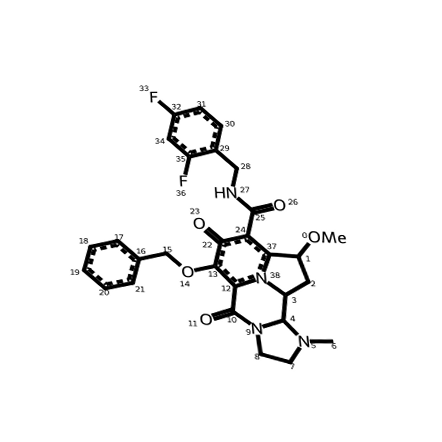 COC1CC2C3N(C)CCN3C(=O)c3c(OCc4ccccc4)c(=O)c(C(=O)NCc4ccc(F)cc4F)c1n32